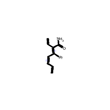 C=C/C=C\C(=C(/C=C)C(N)=O)C(C)C